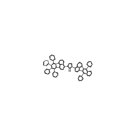 C1=CCCC(c2c(-c3ccccc3)c(-c3ccccc3)c3c(c2-c2ccccc2)-c2cccc4c(-c5ccc(-c6ccc7c8c(cccc68)-c6c-7c(-c7ccccc7)c7ccccc7c6-c6ccccc6)[nH]5)ccc-3c24)=C1